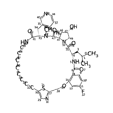 CC(C)C[C@H]1NC(=O)c2ccc(F)cc2OCc2ncc(s2)CCCCCCCCNC(=O)[C@H](Cc2cccnc2)N(C)C(=O)[C@H]2C[C@H](O)CN2C1=O